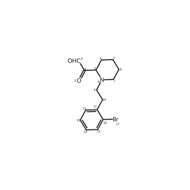 O=CC(=O)C1CCCCN1CCc1ccccc1Br